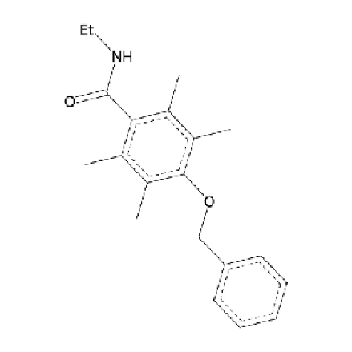 CCNC(=O)c1c(C)c(C)c(OCc2ccccc2)c(C)c1C